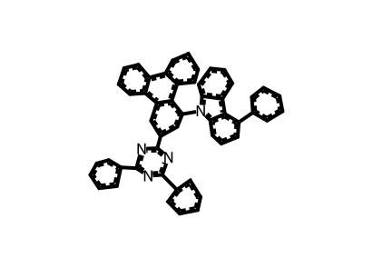 c1ccc(-c2nc(-c3ccccc3)nc(-c3cc(-n4c5ccccc5c5c(-c6ccccc6)cccc54)c4c5ccccc5c5ccccc5c4c3)n2)cc1